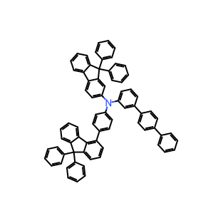 c1ccc(-c2ccc(-c3cccc(N(c4ccc(-c5cccc6c5-c5ccccc5C6(c5ccccc5)c5ccccc5)cc4)c4ccc5c(c4)C(c4ccccc4)(c4ccccc4)c4ccccc4-5)c3)cc2)cc1